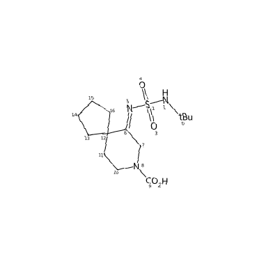 CC(C)(C)NS(=O)(=O)N=C1CN(C(=O)O)CCC12CCCC2